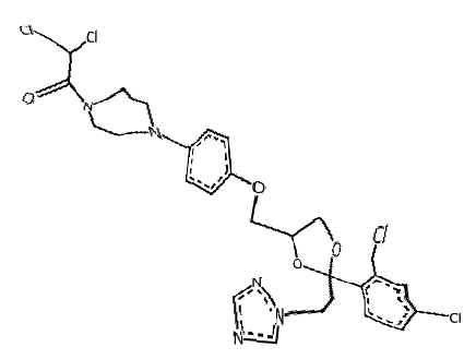 O=C(C(Cl)Cl)N1CCN(c2ccc(OCC3COC(Cn4cncn4)(c4ccc(Cl)cc4Cl)O3)cc2)CC1